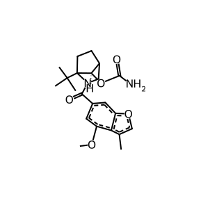 COc1cc(C(=O)N2CC3CCC2(C(C)(C)C)[C@@H]3OC(N)=O)cc2occ(C)c12